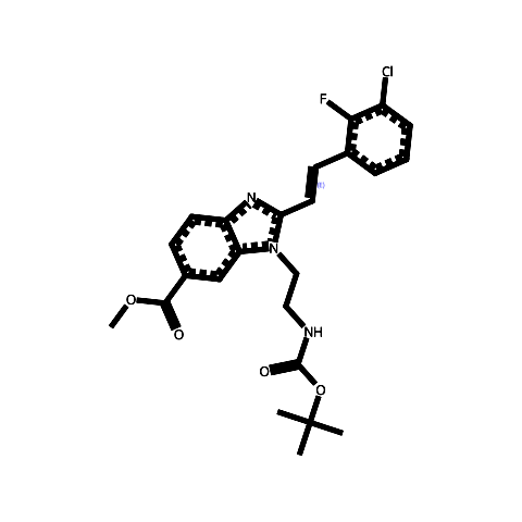 COC(=O)c1ccc2nc(/C=C/c3cccc(Cl)c3F)n(CCNC(=O)OC(C)(C)C)c2c1